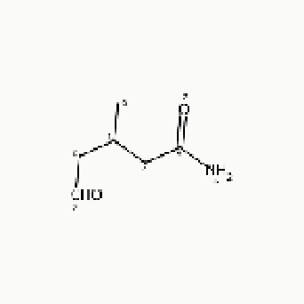 CC(C[C]=O)CC(N)=O